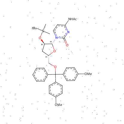 COc1ccc(C(OC[C@@H]2C[C@@H](O[Si](C)(C)C(C)(C)C)[C@H](n3ccc(NC(C)=O)nc3=O)O2)(c2ccccc2)c2ccc(OC)cc2)cc1